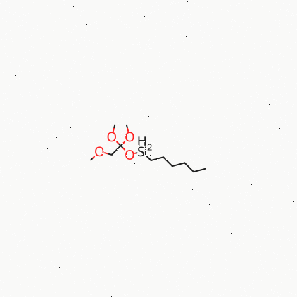 CCCCCC[SiH2]OC(COC)(OC)OC